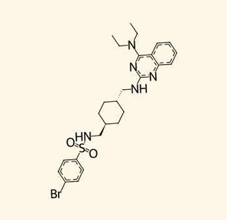 CCN(CC)c1nc(NC[C@H]2CC[C@H](CNS(=O)(=O)c3ccc(Br)cc3)CC2)nc2ccccc12